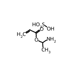 C=CC(=O)OC(C)N.O=S(=O)(O)O